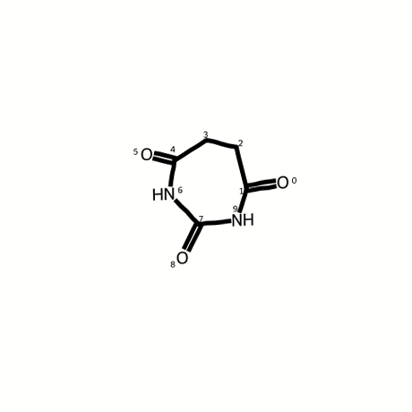 O=C1CCC(=O)NC(=O)N1